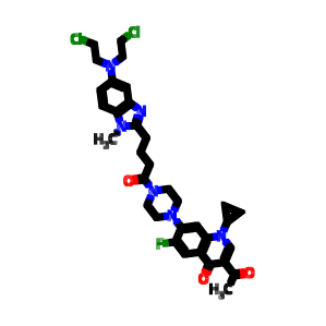 CC(=O)c1cn(C2CC2)c2cc(N3CCN(C(=O)CCCc4nc5cc(N(CCCl)CCCl)ccc5n4C)CC3)c(F)cc2c1=O